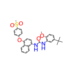 COc1ccc(C(C)(C)C)cc1NC(=O)Nc1ccc(Oc2ccc(S(C)(=O)=O)cc2)c2ccccc12